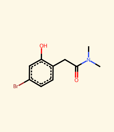 CN(C)C(=O)Cc1ccc(Br)cc1O